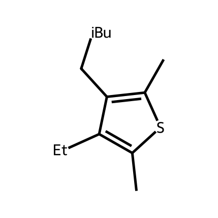 CCc1c(C)sc(C)c1CC(C)CC